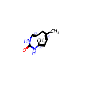 C/C1=C/C=C(\C)NC(=O)N/C=C/C1